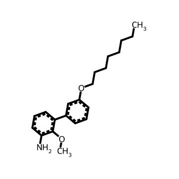 CCCCCCCCOc1cccc(-c2cccc(N)c2OC)c1